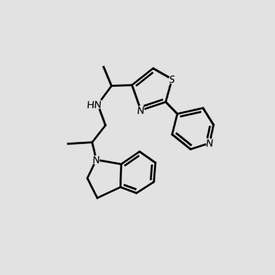 CC(NCC(C)N1CCc2ccccc21)c1csc(-c2ccncc2)n1